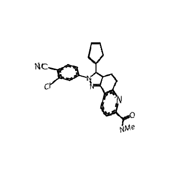 CNC(=O)c1ccc2c(n1)CCC1C2=NN(c2ccc(C#N)c(Cl)c2)C1C1CCCC1